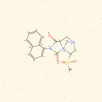 CC(C)S(=O)(=O)C1CN2CC3C(=O)N(c4cccc5ccccc45)C(=O)[N+]31C2